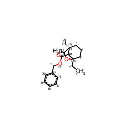 B[C@@H]1O[C@@]2(CC)CCC[C@H]1C2C(=O)OCc1ccccc1